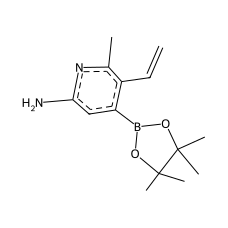 C=Cc1c(B2OC(C)(C)C(C)(C)O2)cc(N)nc1C